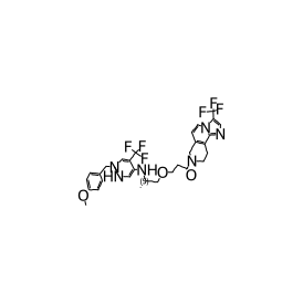 COc1ccc(CN2C=C(C(F)(F)F)C(N[C@@H](C)COCCC(=O)N3CCc4c(ccn5c(C(F)(F)F)cnc45)C3)=CN2)cc1